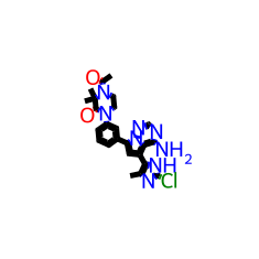 CC(=O)N1CCN(c2cccc(-c3cc(-c4[nH]c(Cl)nc4C)c4c(N)ncnn34)c2)C(=O)C1(C)C